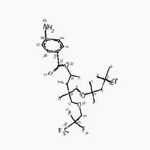 CCC(C)(C)CC(C)(C)OCC(C)(COCC(F)(F)C(F)(F)F)CC(C)OC(=O)c1ccc(N)cc1